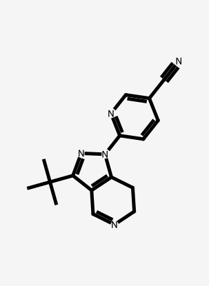 CC(C)(C)c1nn(-c2ccc(C#N)cn2)c2c1C=NCC2